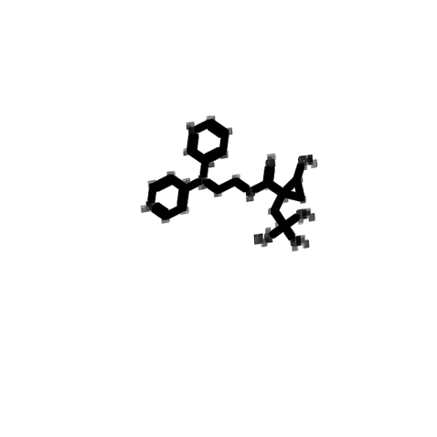 CC1CC1(CC(C)(C)C)C(=O)OCCN(c1ccncc1)c1cccnc1